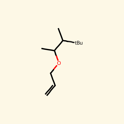 C=CCOC(C)C(C)C(C)(C)C